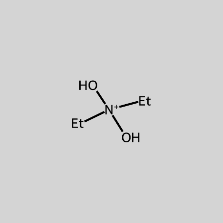 [CH2]C[N+](O)(O)CC